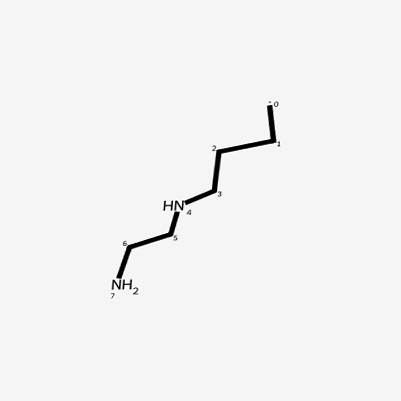 [CH2]CCCNCCN